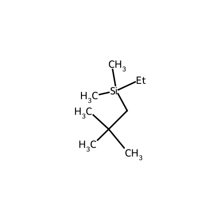 [CH2]C[Si](C)(C)CC(C)(C)C